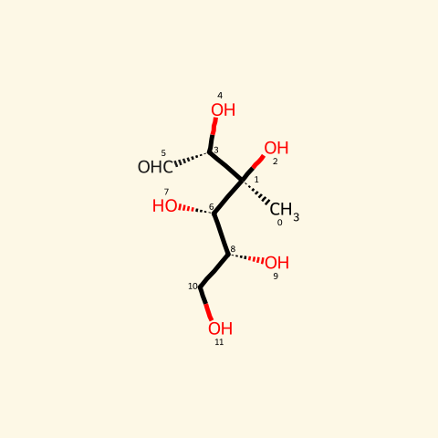 C[C@@](O)([C@@H](O)C=O)[C@@H](O)[C@H](O)CO